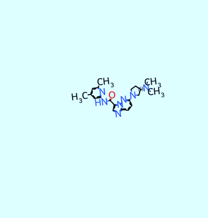 Cc1cc(C)nc(NC(=O)c2cnc3ccc(N4CC[C@H](N(C)C)C4)nn23)c1